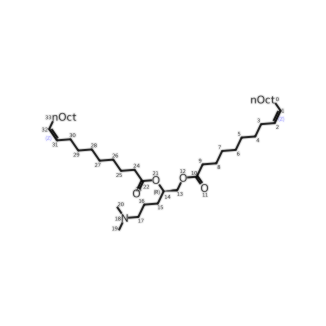 CCCCCCCC/C=C\CCCCCCCC(=O)OC[C@@H](CCCN(C)C)OC(=O)CCCCCCC/C=C\CCCCCCCC